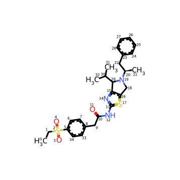 CCS(=O)(=O)c1ccc(CC(=O)Nc2nc3c(s2)CN([C@H](C)Cc2ccccc2)C3C(C)C)cc1